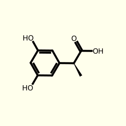 C[C@H](C(=O)O)c1cc(O)cc(O)c1